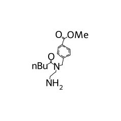 CCCCC(=O)N(CCN)Cc1ccc(C(=O)OC)cc1